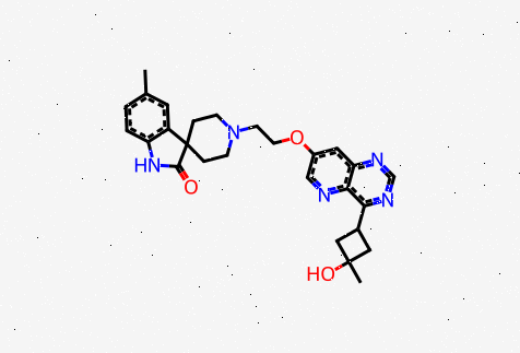 Cc1ccc2c(c1)C1(CCN(CCOc3cnc4c(C5CC(C)(O)C5)ncnc4c3)CC1)C(=O)N2